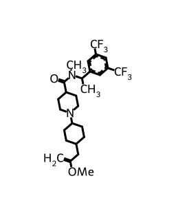 C=C(CC1CCC(N2CCC(C(=O)N(C)C(C)c3cc(C(F)(F)F)cc(C(F)(F)F)c3)CC2)CC1)OC